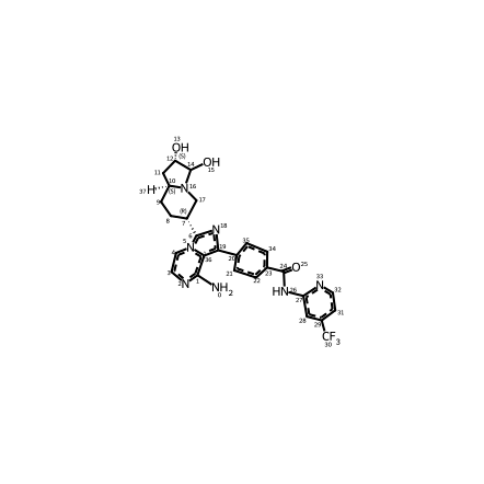 Nc1nccn2c([C@@H]3CC[C@H]4C[C@H](O)C(O)N4C3)nc(-c3ccc(C(=O)Nc4cc(C(F)(F)F)ccn4)cc3)c12